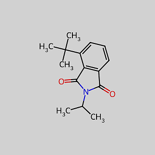 CC(C)N1C(=O)c2cccc(C(C)(C)C)c2C1=O